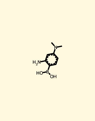 CN(C)c1ccc(B(O)O)c(N)c1